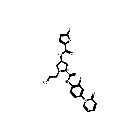 O=C(NC1C[C@@H](C(=O)Nc2ccc(-n3ccccc3=O)cc2F)N(CCC(F)(F)F)C1)c1ccc(Cl)s1